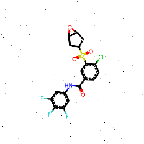 O=C(Nc1cc(F)c(F)c(F)c1)c1ccc(Cl)c(S(=O)(=O)C2CC3OC3C2)c1